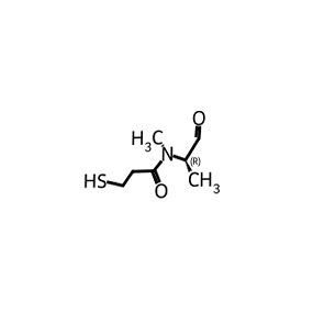 C[C@H](C=O)N(C)C(=O)CCS